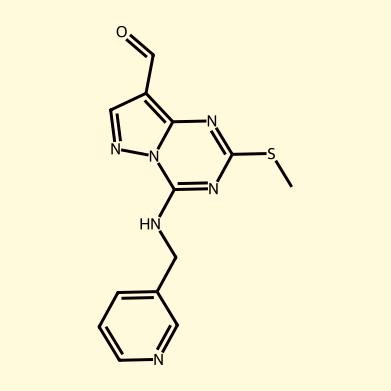 CSc1nc(NCc2cccnc2)n2ncc(C=O)c2n1